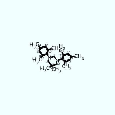 Cc1cc(C)c(N2CN(c3c(C)cc(C)cc3C)CC(C)(C)C2)c(C)c1